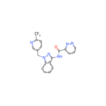 O=C(Nc1nn(Cc2ccc(C(F)(F)F)nc2)c2ccccc12)c1cccnn1